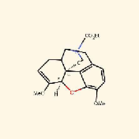 CCOC(=O)N1CC[C@]23c4c5ccc(OC)c4O[C@H]2C(OC)=CCC3C1C5